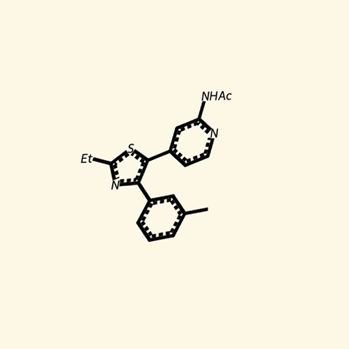 CCc1nc(-c2cccc(C)c2)c(-c2ccnc(NC(C)=O)c2)s1